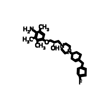 Cc1cc(OC[C@@H](O)CN2CCN(C3CC=C(Cc4ccc(F)cc4)CC3)CC2)c(C)c(C)c1N